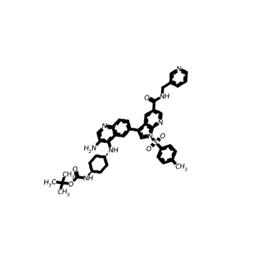 Cc1ccc(S(=O)(=O)n2cc(-c3ccc4ncc(N)c(N[C@H]5CC[C@H](NC(=O)OC(C)(C)C)CC5)c4c3)c3cc(C(=O)NCc4cccnc4)cnc32)cc1